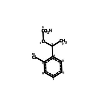 CC(OC(=O)O)c1ccccc1Cl